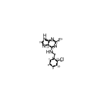 Fc1nc(NCc2ccccc2Cl)c2nc[nH]c2n1